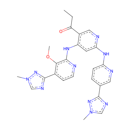 CCC(=O)c1cnc(Nc2ccc(-c3ncn(C)n3)cn2)cc1Nc1nccc(-c2ncn(C)n2)c1OC